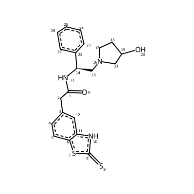 O=C(Cc1ccc2sc(=S)[nH]c2c1)N[C@H](CN1CCC(O)C1)c1ccccc1